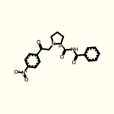 O=C(CN1CCC[C@H]1C(=O)NC(=O)c1ccccc1)c1ccc([N+](=O)[O-])cc1